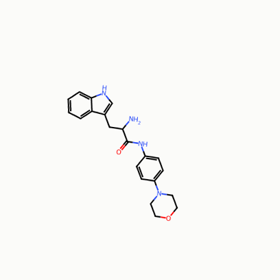 NC(Cc1c[nH]c2ccccc12)C(=O)Nc1ccc(N2CCOCC2)cc1